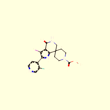 CC(C)(C)OC(=O)N1CCC2(CC1)CNC(=O)c1c2[nH]c(-c2ccncc2F)c1I